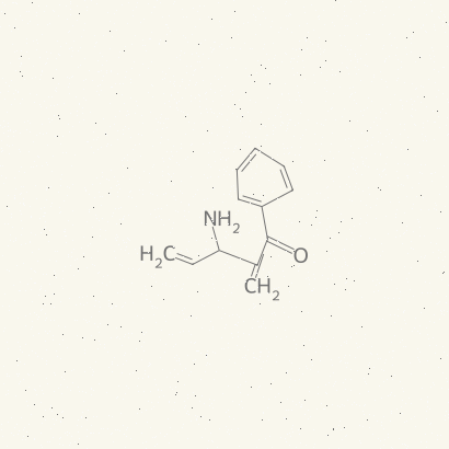 C=CC(N)C(=C)C(=O)c1ccccc1